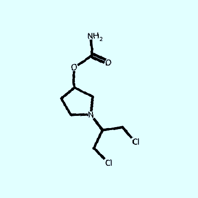 NC(=O)OC1CCN(C(CCl)CCl)C1